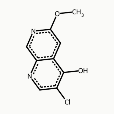 COc1cc2c(O)c(Cl)cnc2cn1